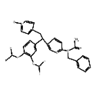 CC(=O)N(Cc1ccccc1)c1ccc(C(Cc2cc[n+]([O-])cc2)c2ccc(OC(F)F)c(OC(F)F)c2)cn1